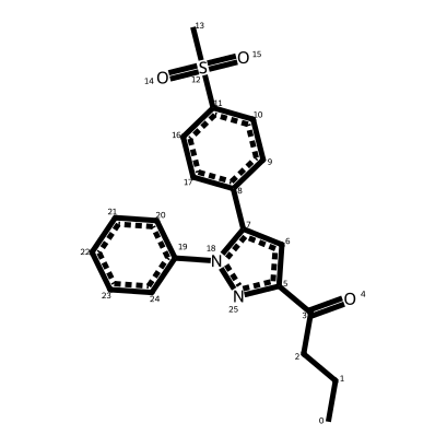 CCCC(=O)c1cc(-c2ccc(S(C)(=O)=O)cc2)n(-c2ccccc2)n1